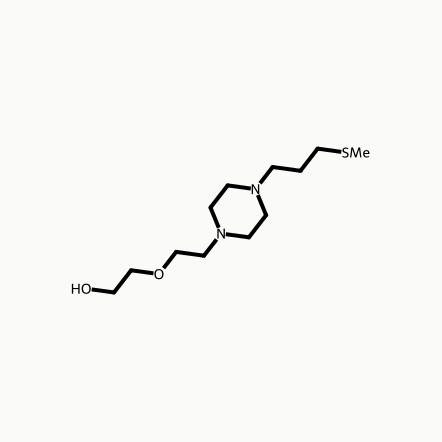 CSCCCN1CCN(CCOCCO)CC1